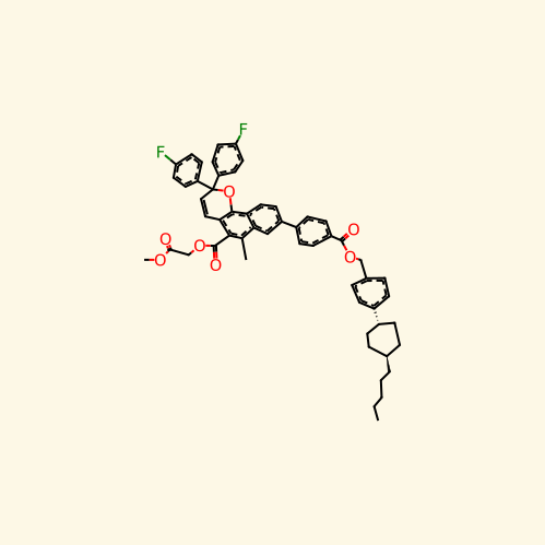 CCCCC[C@H]1CC[C@H](c2ccc(COC(=O)c3ccc(-c4ccc5c6c(c(C(=O)OCC(=O)OC)c(C)c5c4)C=CC(c4ccc(F)cc4)(c4ccc(F)cc4)O6)cc3)cc2)CC1